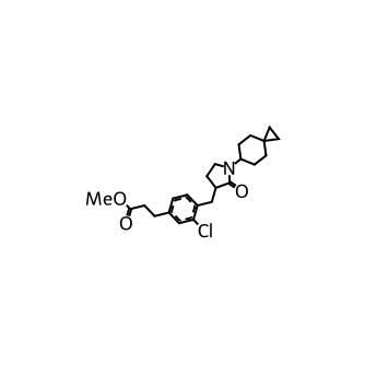 COC(=O)CCc1ccc(CC2CCN(C3CCC4(CC3)CC4)C2=O)c(Cl)c1